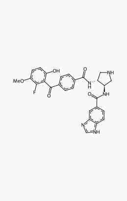 COc1ccc(O)c(C(=O)c2ccc(C(=O)N[C@@H]3CNC[C@H]3NC(=O)c3ccc4[nH]cnc4c3)cc2)c1F